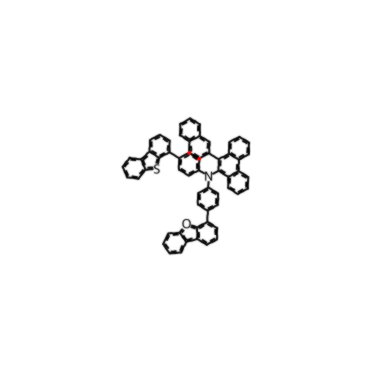 c1ccc2cc(-c3c(N(c4ccc(-c5cccc6c5oc5ccccc56)cc4)c4ccc(-c5cccc6c5sc5ccccc56)cc4)c4ccccc4c4ccccc34)ccc2c1